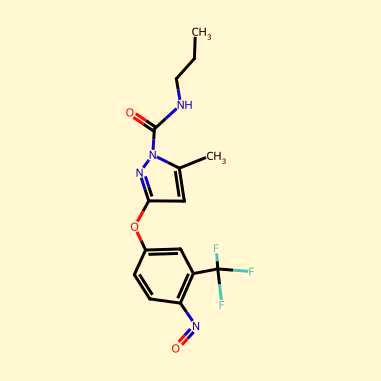 CCCNC(=O)n1nc(Oc2ccc(N=O)c(C(F)(F)F)c2)cc1C